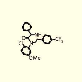 COc1ccc(Cl)c(N(CCc2ccc(C(F)(F)F)cc2)C(=O)C(N)c2ccccc2)c1